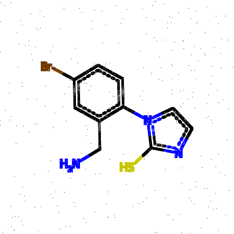 NCc1cc(Br)ccc1-n1ccnc1S